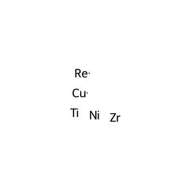 [Cu].[Ni].[Re].[Ti].[Zr]